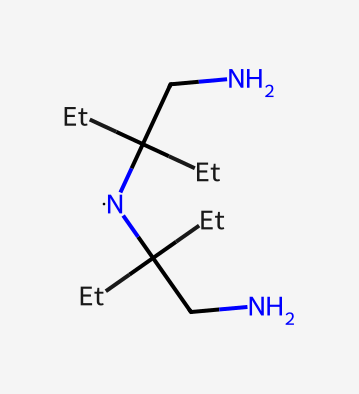 CCC(CC)(CN)[N]C(CC)(CC)CN